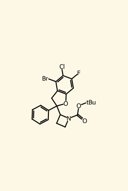 CC(C)(C)OC(=O)N1CCC1C1(c2ccccc2)Cc2c(cc(F)c(Cl)c2Br)O1